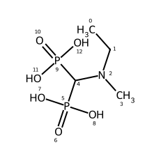 CCN(C)C(P(=O)(O)O)P(=O)(O)O